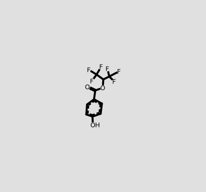 O=C(OC(C(F)(F)F)C(F)(F)F)c1ccc(O)cc1